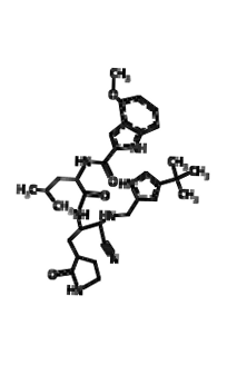 COc1cccc2[nH]c(C(=O)NC(CC(C)C)C(=O)NC(CC3CCNC3=O)C(C#N)NCc3cc(C(C)(C)C)c[nH]3)cc12